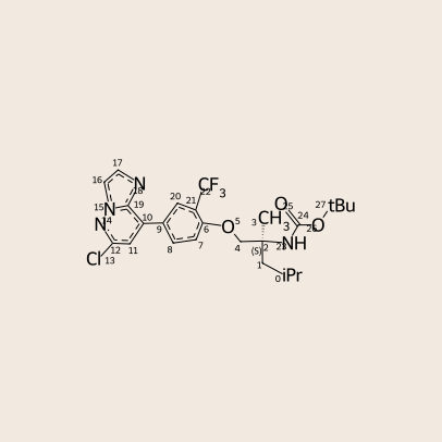 CC(C)C[C@@](C)(COc1ccc(-c2cc(Cl)nn3ccnc23)cc1C(F)(F)F)NC(=O)OC(C)(C)C